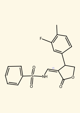 Cc1ccc(C2COC(=O)/C2=C\NS(=O)(=O)c2ccccc2)cc1F